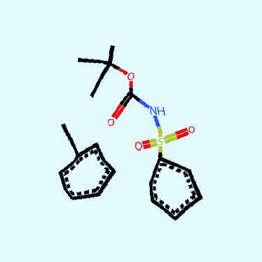 CC(C)(C)OC(=O)NS(=O)(=O)c1ccccc1.Cc1ccccc1